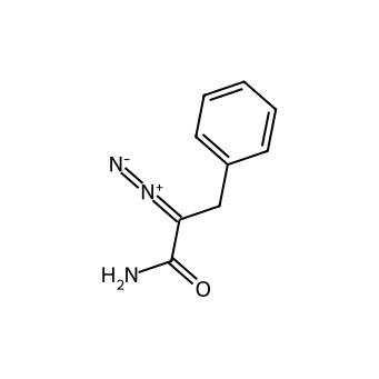 [N-]=[N+]=C(Cc1ccccc1)C(N)=O